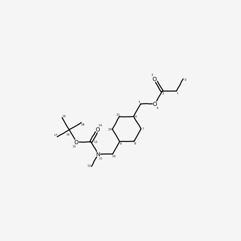 CCC(=O)OCC1CCC(CN(C)C(=O)OC(C)(C)C)CC1